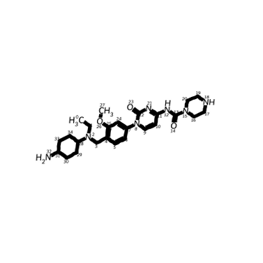 CCN(Cc1ccc(-n2ccc(NC(=O)N3CCNCC3)nc2=O)cc1OC)C1CCC(N)CC1